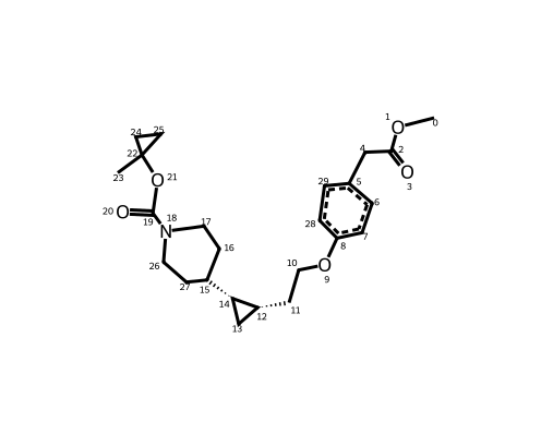 COC(=O)Cc1ccc(OCC[C@@H]2C[C@@H]2C2CCN(C(=O)OC3(C)CC3)CC2)cc1